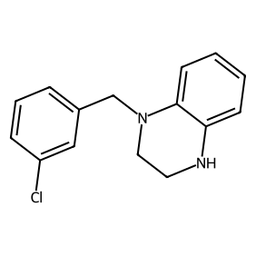 Clc1cccc(CN2CCNc3ccccc32)c1